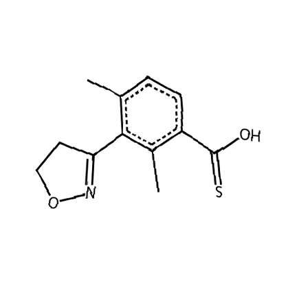 Cc1ccc(C(O)=S)c(C)c1C1=NOCC1